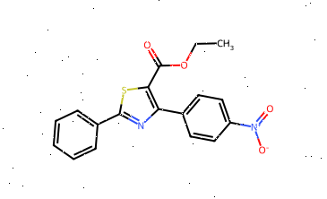 CCOC(=O)c1sc(-c2ccccc2)nc1-c1ccc([N+](=O)[O-])cc1